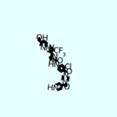 Cn1c(-c2cn(-c3ccc(CO)cn3)nc2C(F)(F)F)cnc1C(=O)Nc1ccc(C(=O)N2CCN(C(=O)C3CCNCC3)CC2)c(Cl)c1